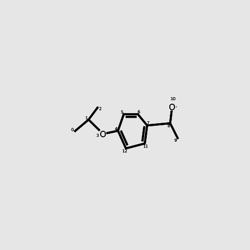 CC(C)Oc1ccc(C(C)[O])cc1